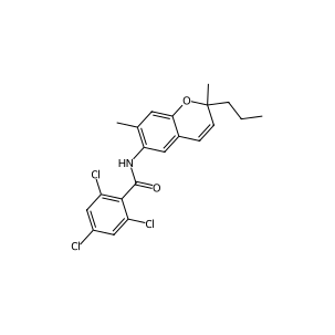 CCCC1(C)C=Cc2cc(NC(=O)c3c(Cl)cc(Cl)cc3Cl)c(C)cc2O1